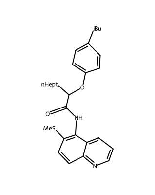 CCCCCCCC(Oc1ccc(C(C)CC)cc1)C(=O)Nc1c(SC)ccc2ncccc12